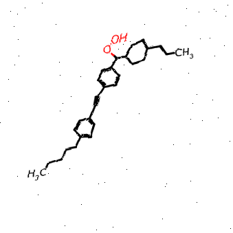 CCCCCc1ccc(C#Cc2ccc(C(OO)C3CCC(CCC)CC3)cc2)cc1